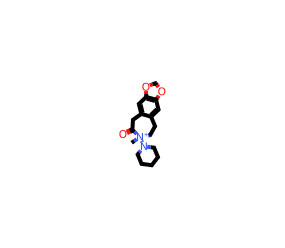 C[N+]1(N2CCCCC2)CCc2cc3c(cc2CC1=O)OCO3